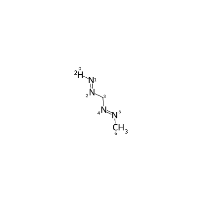 [2H]/N=N/C/N=N/C